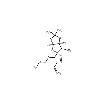 C=CC[C@H](OCOC)[C@@]1(C=O)O[C@@H]2OC(C)(C)O[C@@H]2[C@H]1C